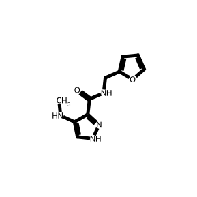 CNc1c[nH]nc1C(=O)NCc1ccco1